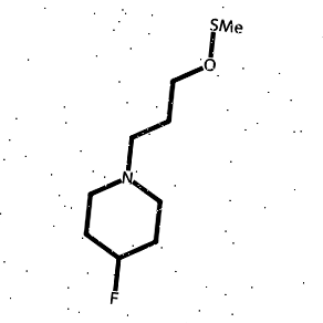 CSOCCCN1CCC(F)CC1